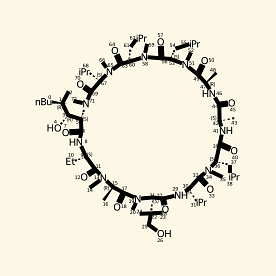 CCCC[C@@H](C)[C@@H](O)[C@H]1C(=O)N[C@@H](CC)C(=O)N(C)[C@H](C)C(=O)N(C)[C@@H](C(C)(C)CO)C(=O)N[C@@H](C(C)C)C(=O)N(C)[C@@H](CC(C)C)C(=O)N[C@@H](C)C(=O)N[C@H](C)C(=O)N(C)[C@@H](CC(C)C)C(=O)N(C)[C@@H](CC(C)C)C(=O)N(C)[C@@H](C(C)C)C(=O)N1C